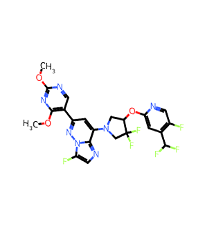 COc1ncc(-c2cc(N3CC(Oc4cc(C(F)F)c(F)cn4)C(F)(F)C3)c3ncc(F)n3n2)c(OC)n1